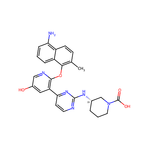 Cc1ccc2c(N)cccc2c1Oc1ncc(O)cc1-c1ccnc(N[C@H]2CCCN(C(=O)O)C2)n1